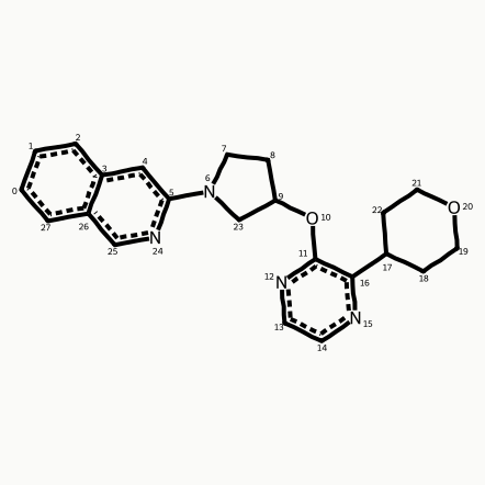 c1ccc2cc(N3CCC(Oc4nccnc4C4CCOCC4)C3)ncc2c1